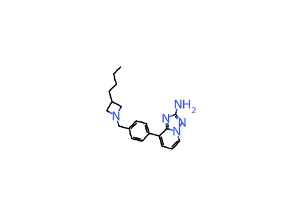 CCCCC1CN(Cc2ccc(-c3cccn4nc(N)nc34)cc2)C1